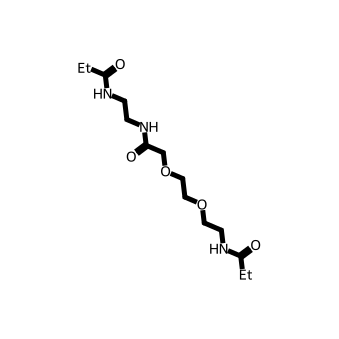 CCC(=O)NCCNC(=O)COCCOCCNC(=O)CC